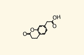 O=C(O)Cc1ccc2c(c1)OC(=O)CC2